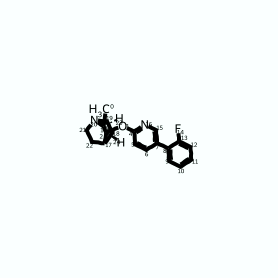 C[C@H]1[C@H](Oc2ccc(-c3ccccc3F)cn2)C2CCN1CC2